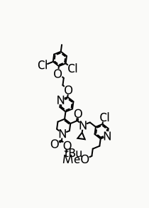 COCCCc1cc(CN(C(=O)C2=C(c3ccc(OCCOc4c(Cl)cc(C)cc4Cl)nc3)CCN(C(=O)OC(C)(C)C)C2)C2CC2)c(Cl)cn1